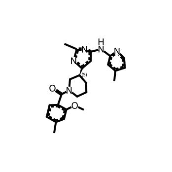 COc1cc(C)ccc1C(=O)N1CCC[C@H](c2cc(Nc3cc(C)ccn3)nc(C)n2)C1